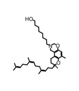 CC(C)=CCCC(C)=CCCC(C)=CCC[C@]1(C)CCc2c3c(cc(C)c2O1)OCN(CCCCCCCCO)C3